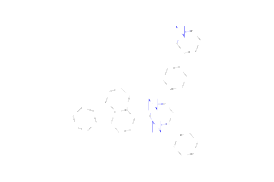 c1ccc(-c2cc(-c3ccc(-c4cccnc4)cc3)nc(-c3ccc4c5c(cccc35)-c3ccccc3-4)n2)cc1